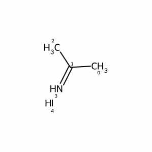 CC(C)=N.I